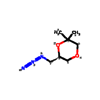 CC1(C)COC[C@H](CN=[N+]=[N-])O1